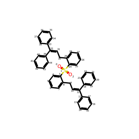 O=S(=O)(c1ccccc1CC=C(c1ccccc1)c1ccccc1)c1ccccc1CC=C(c1ccccc1)c1ccccc1